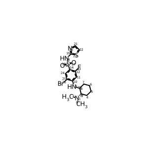 CN(C)[C@H]1CCCC[C@@H]1Nc1cc(F)c(S(=O)(=O)Nc2nccs2)cc1Br